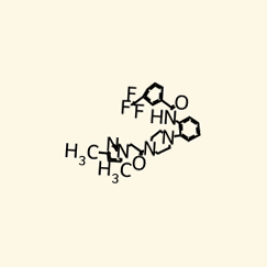 Cc1cc(C)n(CC(=O)N2CCN(c3ccccc3NC(=O)c3cccc(C(F)(F)F)c3)CC2)n1